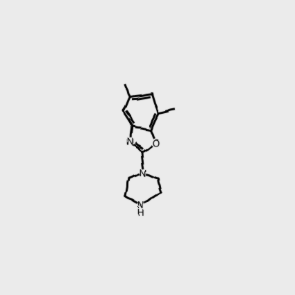 Cc1cc(C)c2oc(N3CCNCC3)nc2c1